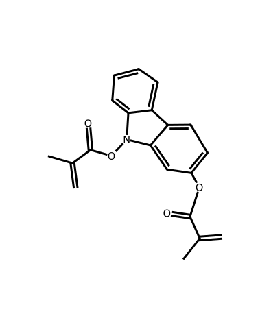 C=C(C)C(=O)Oc1ccc2c3ccccc3n(OC(=O)C(=C)C)c2c1